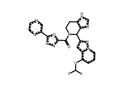 O=C(c1nnc(-c2cnccn2)o1)N1CCc2[nH]cnc2C1c1cc2c(OC(F)F)cccn2n1